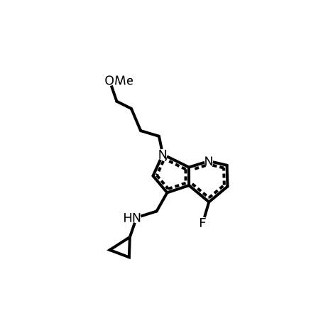 COCCCCn1cc(CNC2CC2)c2c(F)ccnc21